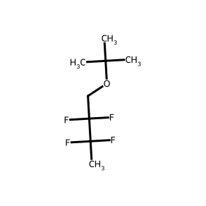 CC(C)(C)OCC(F)(F)C(C)(F)F